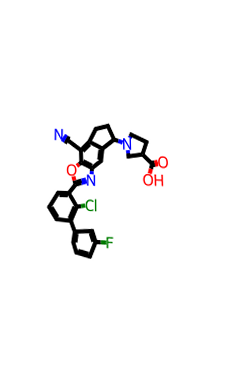 N#Cc1c2c(cc3nc(-c4cccc(-c5cccc(F)c5)c4Cl)oc13)C(N1CCC(C(=O)O)C1)CC2